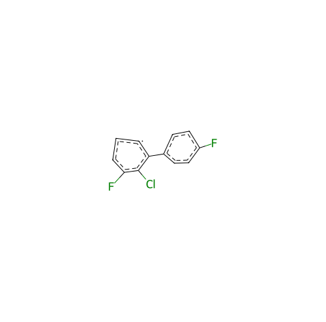 Fc1ccc(-c2[c]ccc(F)c2Cl)cc1